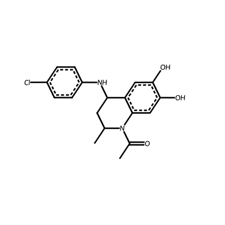 CC(=O)N1c2cc(O)c(O)cc2C(Nc2ccc(Cl)cc2)CC1C